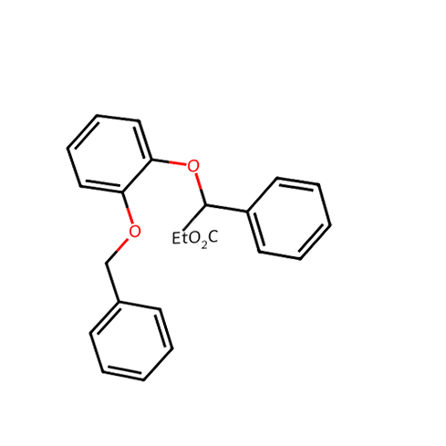 CCOC(=O)C(Oc1ccccc1OCc1ccccc1)c1ccccc1